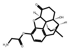 CN1CC[C@]23c4c5ccc(OC(=O)CN)c4O[C@H]2C(=O)CC[C@@]3(O)[C@H]1C5